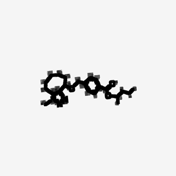 CCCC(C)OC(=O)c1ccc(COC2CCCCCc3c2nnn3C)cc1